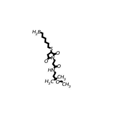 BCCCCCCSC1CC(=O)N(CCC(=O)NCCC(C)(C)OCC)C1=O